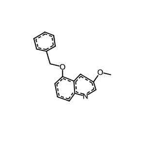 COc1cnc2cccc(OCc3ccccc3)c2c1